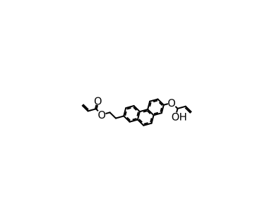 C=CC(=O)OCCc1ccc2c(ccc3cc(OC(O)C=C)ccc32)c1